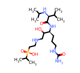 CC(C)N[C@H](C(=O)N[C@@H](CCCNC(N)=O)C(O)CNCCP(=O)(O)C(C)C)C(C)C